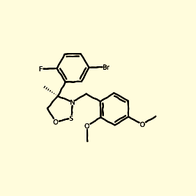 COc1ccc(CN2SOC[C@@]2(C)c2cc(Br)ccc2F)c(OC)c1